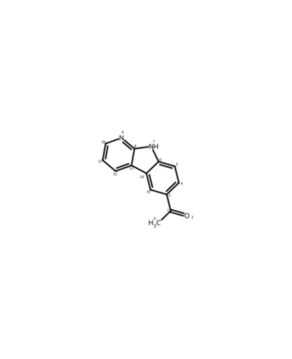 CC(=O)c1ccc2[nH]c3ncccc3c2c1